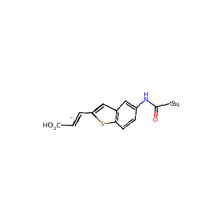 CC(C)(C)C(=O)Nc1ccc2sc(/C=C/C(=O)O)cc2c1